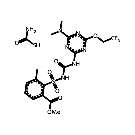 COC(=O)c1cccc(C)c1S(=O)(=O)NC(=O)Nc1nc(OCC(F)(F)F)nc(N(C)C)n1.NC(=O)S